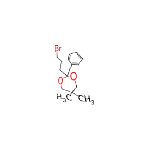 CC1(C)COC(CCCBr)(c2ccccc2)OC1